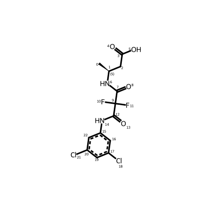 C[C@@H](CC(=O)O)NC(=O)C(F)(F)C(=O)Nc1cc(Cl)cc(Cl)c1